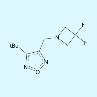 CC(C)(C)c1nonc1CN1CC(F)(F)C1